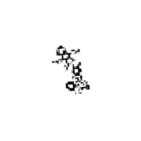 CCOc1c2c(c(OCC)c3ncccc13)CN(c1ccc(CS(=O)(=O)N(C(=O)C3CC3)c3c(F)cccc3Cl)cc1C)C2=O